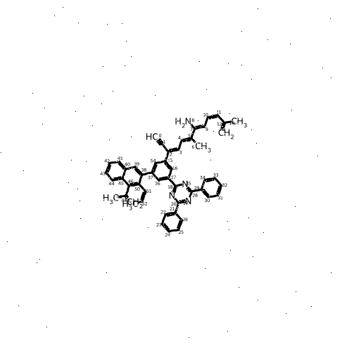 C#C\C(=C/C=C(C)/C(N)=C/C=C\C(=C)C)c1cc(-c2nc(-c3ccccc3)nc(-c3ccccc3)n2)cc(-c2cc3ccccc3c(C(=C)C)c2/C=C\C)c1